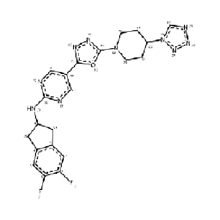 Fc1cc2c(cc1F)CC(Nc1ncc(-c3nnc(N4CCC(n5cnnn5)CC4)o3)cn1)C2